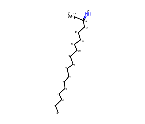 CCCCCCCCCCCCCCC[C](=N)[Mg][CH3]